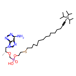 CC(C)[Si](C#CCCCCCCCCCCCCSCCOP(=O)(O)CO[C@H](C)Cn1cnc2c(N)ncnc21)(C(C)C)C(C)C